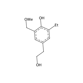 CCc1cc(CCO)cc(COC)c1O